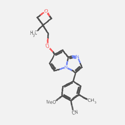 COc1cc(-c2cnc3cc(OCC4(C)COC4)ccn23)cc(C)c1C#N